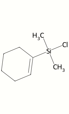 C[Si](C)(Cl)C1=CCCCC1